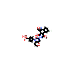 COc1cn(C(CC2CCCCO2)C(=O)Nc2ccc(C(=O)O)cc2)c(=O)cc1-c1cc(Cl)ccc1-c1ccon1